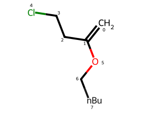 C=C(CCCl)OCCCCC